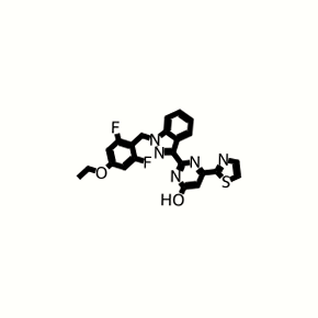 CCOc1cc(F)c(Cn2nc(-c3nc(O)cc(-c4nccs4)n3)c3ccccc32)c(F)c1